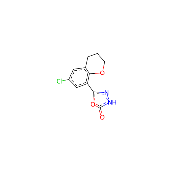 O=c1[nH]nc(-c2cc(Cl)cc3c2OCCC3)o1